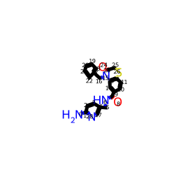 Nc1ccc(CNC(=O)c2ccc3c(c2)N(Cc2ccccc2)C(=O)CS3)cn1